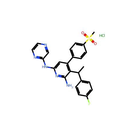 CC(c1ccc(F)cc1)c1c(-c2ccc(S(C)(=O)=O)cc2)cc(Nc2cnccn2)nc1N.Cl